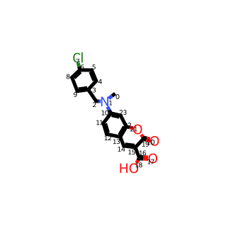 CN(Cc1ccc(Cl)cc1)c1ccc2cc(C(=O)O)c(=O)oc2c1